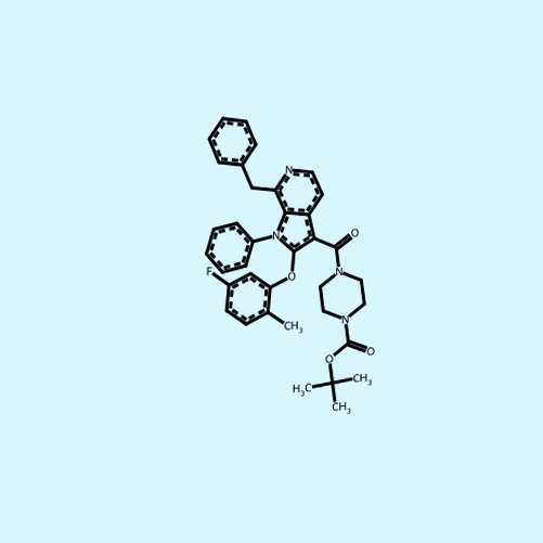 Cc1ccc(F)cc1Oc1c(C(=O)N2CCN(C(=O)OC(C)(C)C)CC2)c2ccnc(Cc3ccccc3)c2n1-c1ccccc1